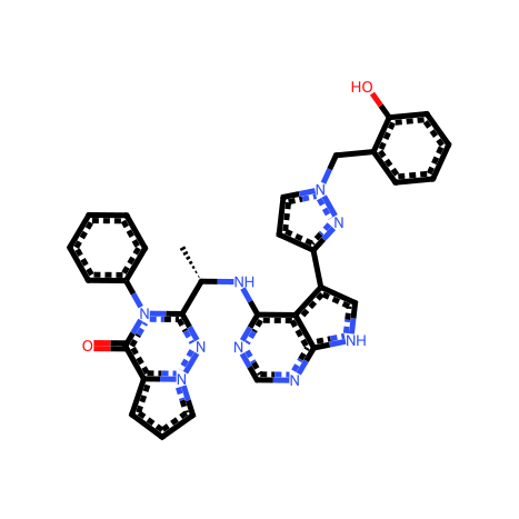 C[C@H](Nc1ncnc2[nH]cc(-c3ccn(Cc4ccccc4O)n3)c12)c1nn2cccc2c(=O)n1-c1ccccc1